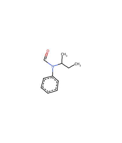 CCC(C)N(C=O)c1ccccc1